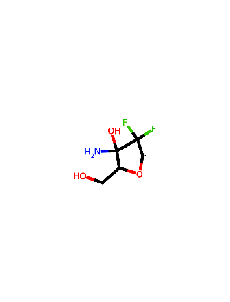 NC1(O)C(CO)O[CH]C1(F)F